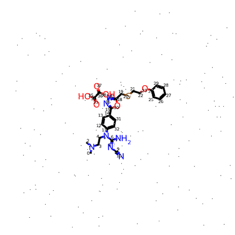 CN(C)CCN(/C(N)=N/C#N)c1ccc(-c2nnc(CSCCOc3ccccc3)o2)cc1.O=C(O)C(=O)O